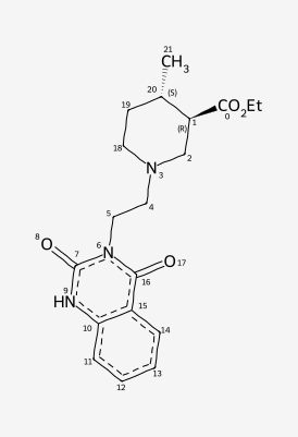 CCOC(=O)[C@H]1CN(CCn2c(=O)[nH]c3ccccc3c2=O)CC[C@@H]1C